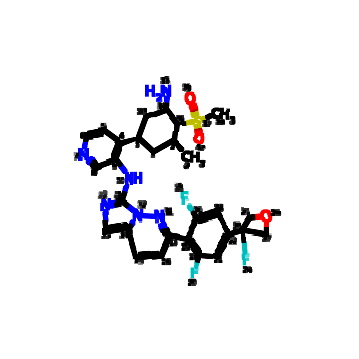 C[C@H]1C[C@@H](c2ccncc2Nc2ncc3ccc(-c4c(F)cc(C5(F)COC5)cc4F)nn23)C[C@@H](N)[C@H]1S(C)(=O)=O